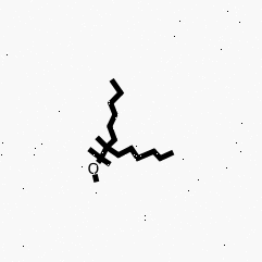 CCCCCCC(C)(CCCCCC)C(C)(C)OC